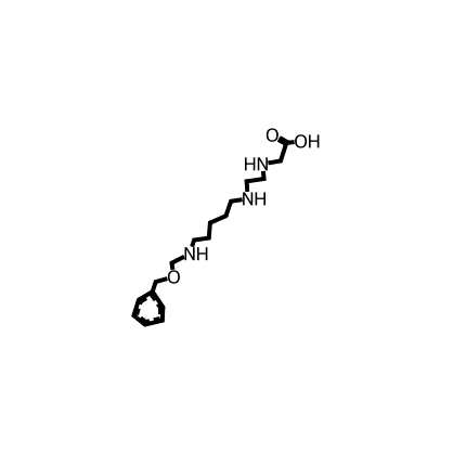 O=C(O)CNCCNCCCCCNCOCc1ccccc1